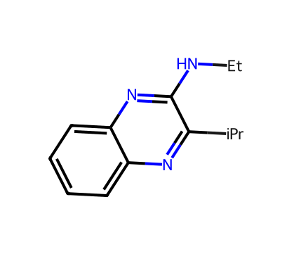 CCNc1nc2ccccc2nc1C(C)C